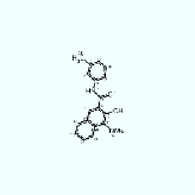 CNc1c(O)c(C(=O)Nc2cccc(C)c2)cc2ccccc12